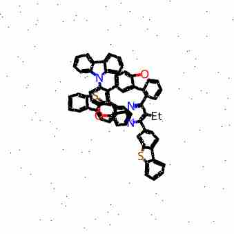 CCc1c(-c2ccc3c(c2)sc2ccccc23)nc(-c2ccc3c(c2)sc2ccccc23)nc1-c1cccc2oc3ccc(-c4c(-n5c6ccccc6c6ccccc65)ccc5oc6ccccc6c45)cc3c12